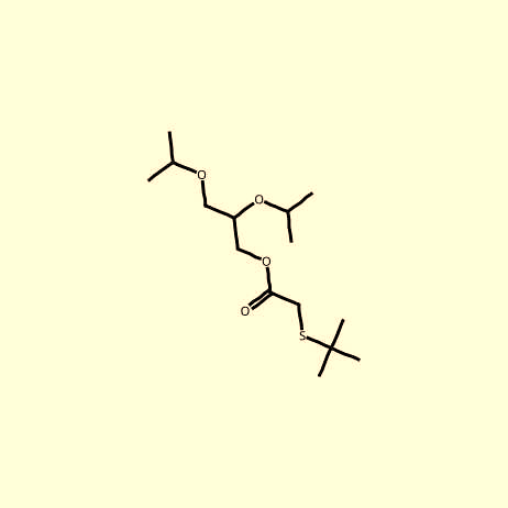 CC(C)OCC(COC(=O)CSC(C)(C)C)OC(C)C